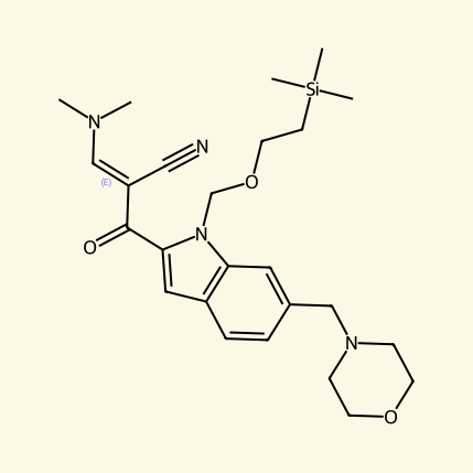 CN(C)/C=C(\C#N)C(=O)c1cc2ccc(CN3CCOCC3)cc2n1COCC[Si](C)(C)C